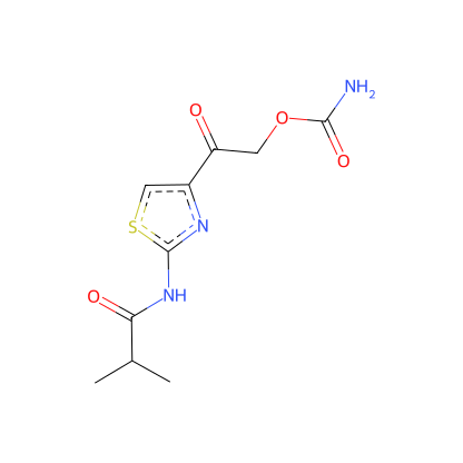 CC(C)C(=O)Nc1nc(C(=O)COC(N)=O)cs1